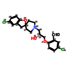 O=Cc1cc(Cl)ccc1OC[C@H](O)CN1CCC2(CC1)Cc1cc(Cl)ccc1O2